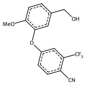 COc1ccc(CO)cc1Oc1ccc(C#N)c(C(F)(F)F)c1